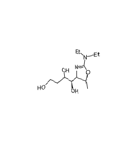 CCN(CC)C1=NC([C@@H](O)C(O)CCO)C(C)O1